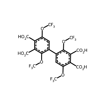 O=C(O)c1c(OC(F)(F)F)cc(-c2cc(OC(F)(F)F)c(C(=O)O)c(C(=O)O)c2OC(F)(F)F)c(OC(F)(F)F)c1C(=O)O